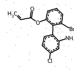 C=CC(=O)Oc1cccc(Br)c1-c1ccc(Cl)cc1N